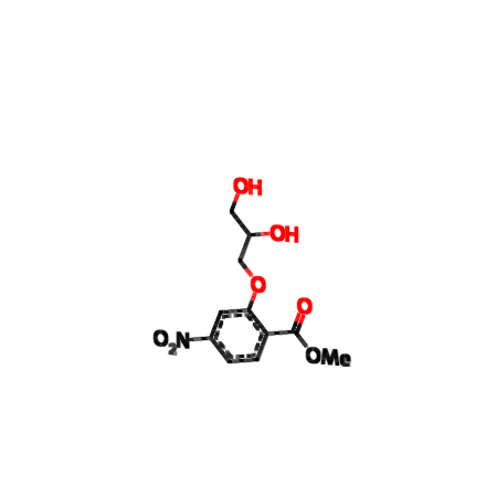 COC(=O)c1ccc([N+](=O)[O-])cc1OCC(O)CO